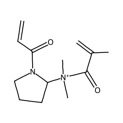 C=CC(=O)N1CCCC1[N+](C)(C)C(=O)C(=C)C